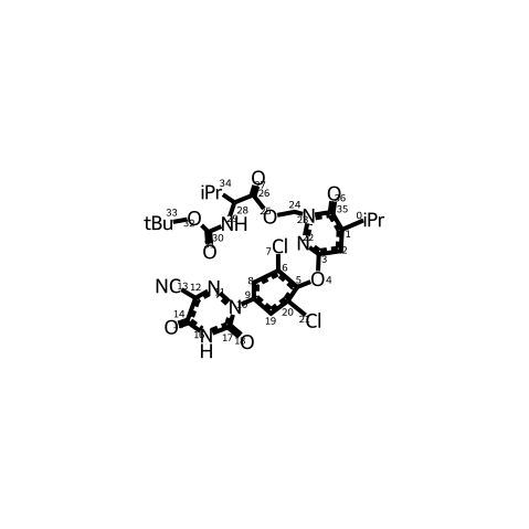 CC(C)c1cc(Oc2c(Cl)cc(-n3nc(C#N)c(=O)[nH]c3=O)cc2Cl)nn(COC(=O)C(NC(=O)OC(C)(C)C)C(C)C)c1=O